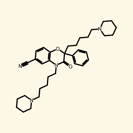 N#Cc1ccc2c(c1)N(CCCCCN1CCCCC1)C(=O)C(CCCCCN1CCCCC1)(c1ccccc1)O2